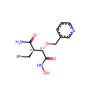 CC(C)C[C@@H](C(N)=O)[C@H](OCc1cccnc1)C(=O)NO